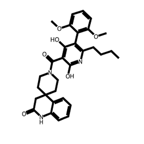 CCCCc1nc(O)c(C(=O)N2CCC3(CC2)CC(=O)Nc2ccccc23)c(O)c1-c1c(OC)cccc1OC